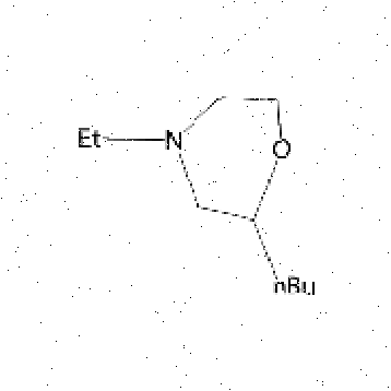 CCCCC1CN(CC)CCO1